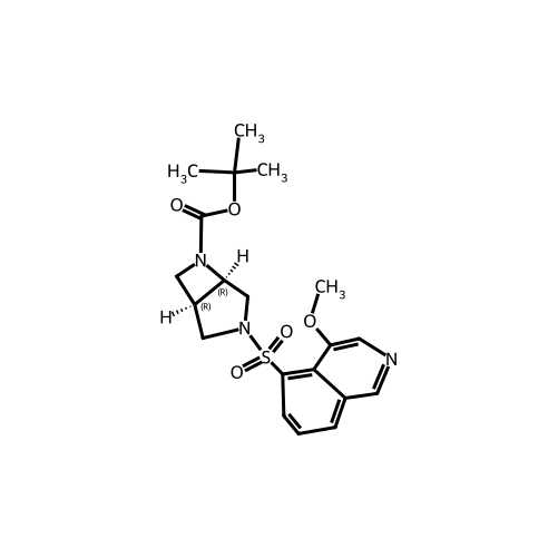 COc1cncc2cccc(S(=O)(=O)N3C[C@H]4CN(C(=O)OC(C)(C)C)[C@H]4C3)c12